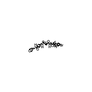 C/C(=N\NC(=O)c1ccc(C(=O)NCc2ccc(C(=O)NCCN3CCOCC3)cc2)s1)c1csc(-c2ccc(Br)cc2)c1O